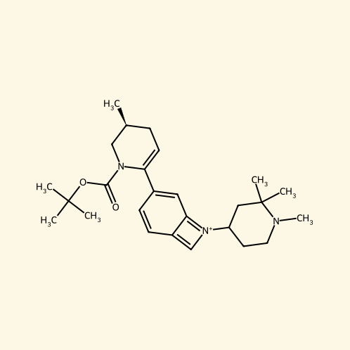 C[C@H]1CC=C(c2ccc3c(c2)=[N+](C2CCN(C)C(C)(C)C2)C=3)N(C(=O)OC(C)(C)C)C1